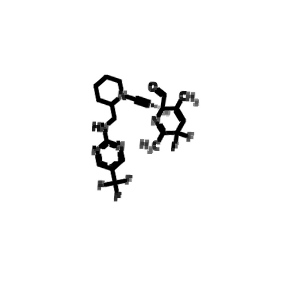 CC1=CC(F)(F)C(C)=N[C@@]1(C#CN1CCCCC1CNc1ncc(C(F)(F)F)cn1)C=O